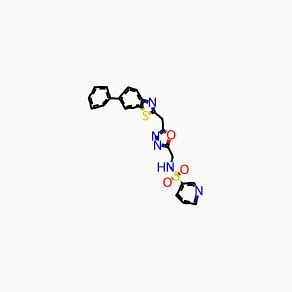 O=S(=O)(NCc1nnc(Cc2nc3ccc(-c4ccccc4)cc3s2)o1)c1cccnc1